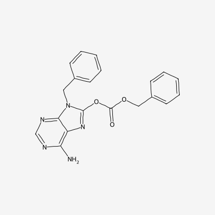 Nc1ncnc2c1nc(OC(=O)OCc1ccccc1)n2Cc1ccccc1